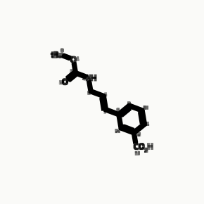 CC(C)(C)OC(=O)NC/C=C/c1cccc(C(=O)O)c1